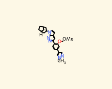 COCOc1cc(-c2cnn(C)c2)ccc1-c1cc2ccn([C@H]3CC4CC[C@@H](C4)C3)c2nn1